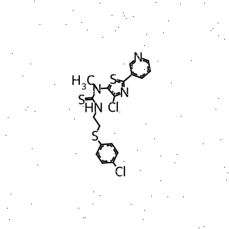 CN(C(=S)NCCSc1ccc(Cl)cc1)c1sc(-c2cccnc2)nc1Cl